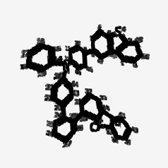 C1=Cc2c(sc3ccc(-c4ccc(N(c5ccccc5)c5ccc(-c6ccccc6-c6cccc7c6oc6ccccc67)cc5)cc4)cc23)CC1